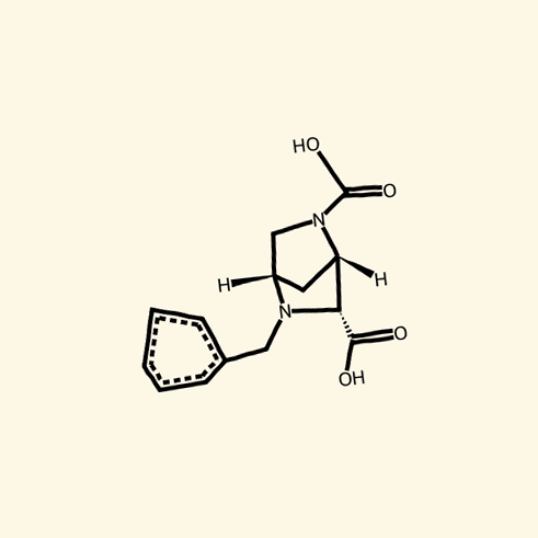 O=C(O)[C@H]1[C@@H]2C[C@@H](CN2C(=O)O)N1Cc1ccccc1